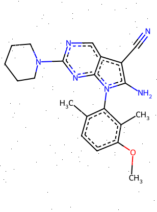 COc1ccc(C)c(-n2c(N)c(C#N)c3cnc(N4CCCCC4)nc32)c1C